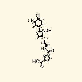 O=C(O)c1ccc(C(=O)NN=CCc2csc(-c3ccc(Cl)c(Cl)c3)c2O)s1